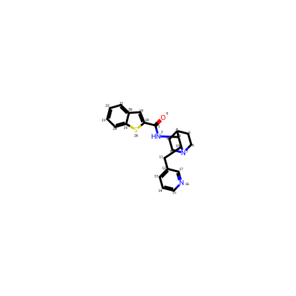 O=C(NC1C2CCN(CC2)C1Cc1cccnc1)c1cc2ccccc2s1